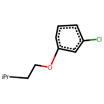 CC(C)CCOc1cc[c]c(Cl)c1